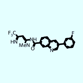 CN/C(=C\C(=N)C(F)(F)F)NC(=O)c1ccc2cc(-c3cccc(F)c3)cnc2c1